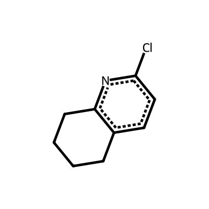 Clc1ccc2c(n1)CCCC2